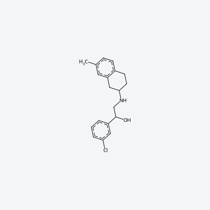 Cc1ccc2c(c1)CC(NCC(O)c1cccc(Cl)c1)CC2